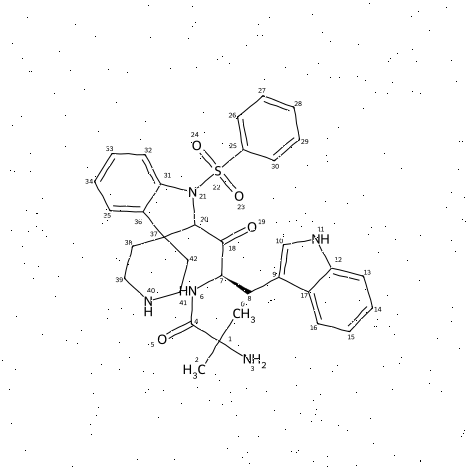 CC(C)(N)C(=O)N[C@H](Cc1c[nH]c2ccccc12)C(=O)C1N(S(=O)(=O)c2ccccc2)c2ccccc2C12CCNCC2